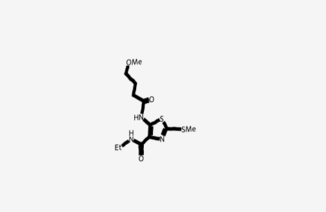 CCNC(=O)c1nc(SC)sc1NC(=O)CCCOC